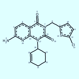 Nc1ccc2c(=O)n(Cc3ccc(Cl)s3)c(=O)n(C3C=CCCC3)c2n1